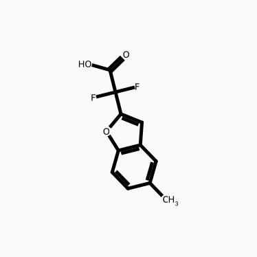 Cc1ccc2oc(C(F)(F)C(=O)O)cc2c1